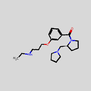 CCNCCCOc1cccc(C(=O)N2CCC[C@H]2CN2CCCC2)c1